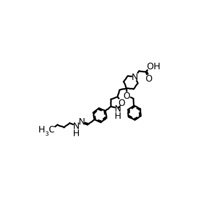 CCCCNN=Cc1ccc(C2CC(CC3(OCc4ccccc4)CCN(CC(=O)O)CC3)ON2)cc1